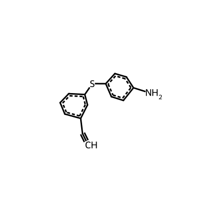 C#Cc1cccc(Sc2ccc(N)cc2)c1